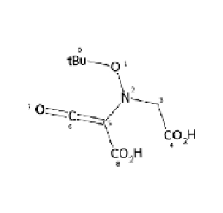 CC(C)(C)ON(CC(=O)O)C(=C=O)C(=O)O